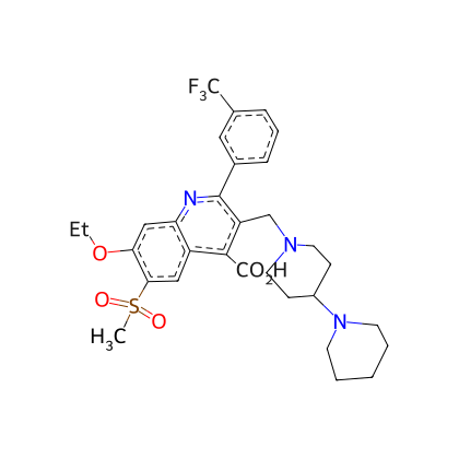 CCOc1cc2nc(-c3cccc(C(F)(F)F)c3)c(CN3CCC(N4CCCCC4)CC3)c(C(=O)O)c2cc1S(C)(=O)=O